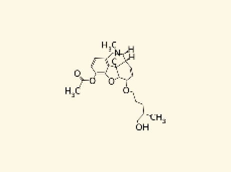 CC(=O)Oc1ccc2c3c1OC1C(OCCCC(C)CO)C=C[C@H]4[C@@H](C2)N(C)CC[C@]314